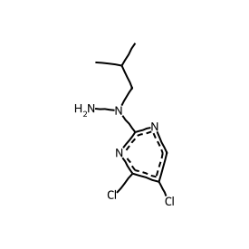 CC(C)CN(N)c1ncc(Cl)c(Cl)n1